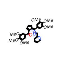 COc1cc(C(=O)C2=CC=C/C2=C(/NCc2ccccn2)c2cc(OC)c(OC)c(OC)c2)cc(OC)c1OC